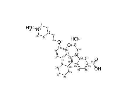 CN1CCC(CCOc2cccc3c2OCCn2c-3c(C3CCCCC3)c3ccc(C(=O)O)cc32)CC1.Cl